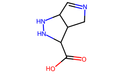 O=C(O)C1NNC2C=NCC21